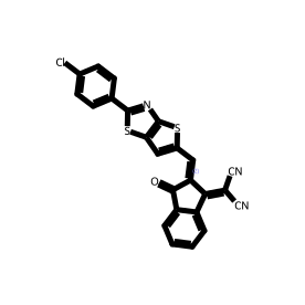 N#CC(C#N)=C1/C(=C/c2cc3sc(-c4ccc(Cl)cc4)nc3s2)C(=O)c2ccccc21